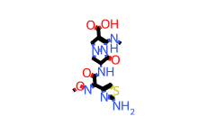 CNC1=C(C(=O)O)CN2C[C@H](NC(=O)/C(=N\OC)c3csc(N)n3)C(=O)N12